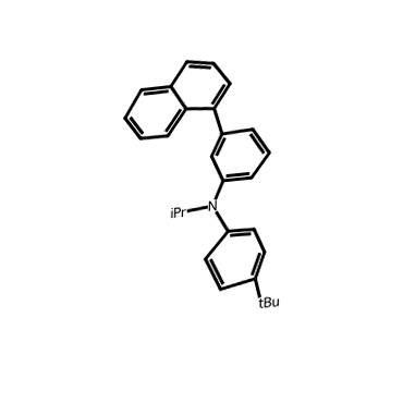 CC(C)N(c1ccc(C(C)(C)C)cc1)c1cccc(-c2cccc3ccccc23)c1